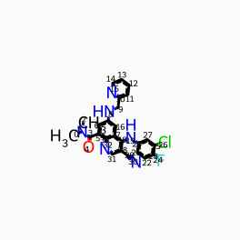 CN(C)C(=O)c1cc(NCc2ccccn2)cc2c(Nc3ccc(F)c(Cl)c3)c(C#N)cnc12